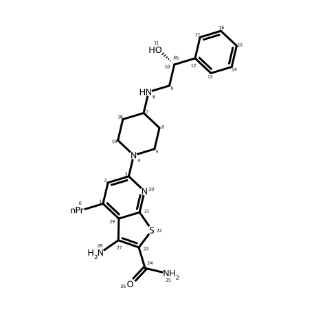 CCCc1cc(N2CCC(NC[C@H](O)c3ccccc3)CC2)nc2sc(C(N)=O)c(N)c12